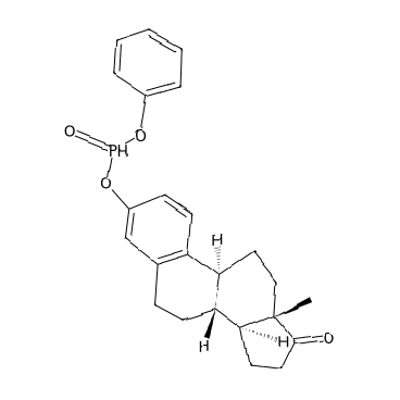 C[C@]12CC[C@@H]3c4ccc(O[PH](=O)Oc5ccccc5)cc4CC[C@H]3[C@@H]1CCC2=O